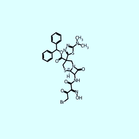 CN(C)c1nnc(C2(C(=O)OC(c3ccccc3)c3ccccc3)CS[C@@H]3C(NC(=O)C(=NO)C(=O)CBr)C(=O)N3C2)s1